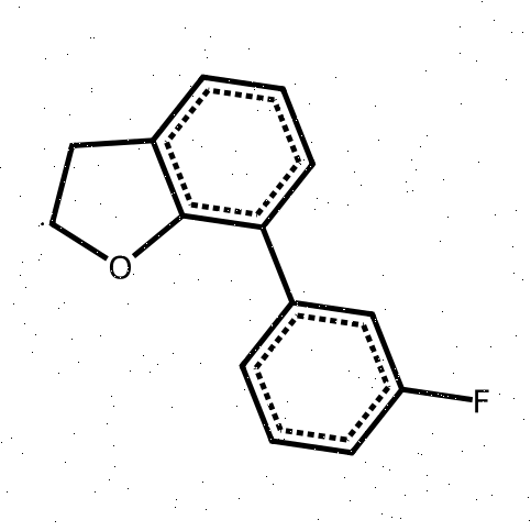 Fc1cccc(-c2cccc3c2O[CH]C3)c1